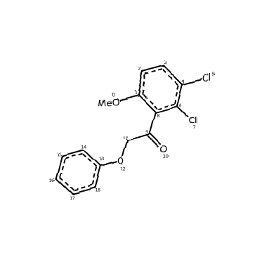 COc1ccc(Cl)c(Cl)c1C(=O)COc1ccccc1